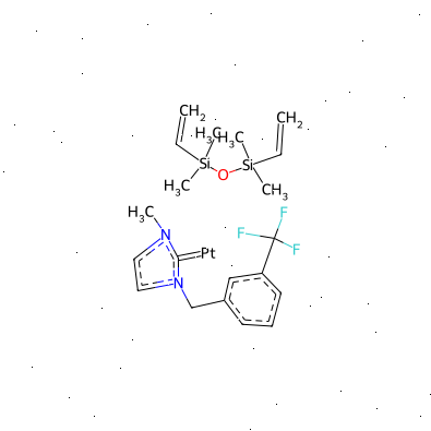 C=C[Si](C)(C)O[Si](C)(C)C=C.Cn1ccn(Cc2cccc(C(F)(F)F)c2)[c]1=[Pt]